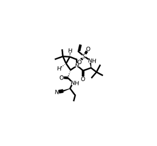 C=CS(=O)(=O)N[C@H](C(=O)N1C[C@H]2[C@@H]([C@H]1C(=O)N[C@H](C#N)CC)C2(C)C)C(C)(C)C